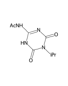 CC(=O)Nc1nc(=O)n(C(C)C)c(=O)[nH]1